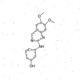 COc1cc2cnc(Nc3cccc(O)c3)nc2cc1OC